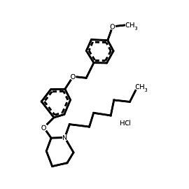 CCCCCCCN1CCCCC1Oc1ccc(OCc2ccc(OC)cc2)cc1.Cl